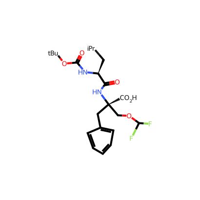 CC(C)C[C@H](NC(=O)OC(C)(C)C)C(=O)N[C@](COC(F)F)(Cc1ccccc1)C(=O)O